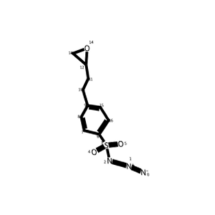 [N-]=[N+]=NS(=O)(=O)c1ccc(CCC2CO2)cc1